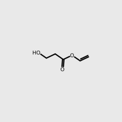 C=COC(=O)CCO